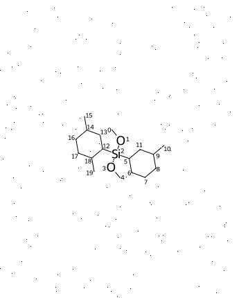 CO[Si](OC)(C1CCCC(C)C1)C1CC(C)CCC1C